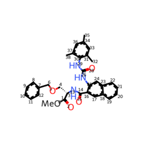 COC(=O)[C@H](COCc1ccccc1)NC(=O)c1cc2ccccc2cc1NC(=O)Nc1c(C)cc(C)cc1C